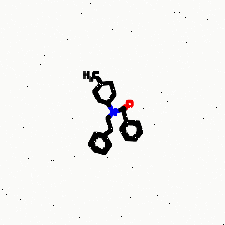 CC1CCC(N(CCc2ccccc2)C(=O)c2ccccc2)CC1